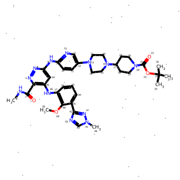 CNC(=O)c1nnc(Nc2ccc(N3CCN(C4CCN(C(=O)OC(C)(C)C)CC4)CC3)cn2)cc1Nc1cccc(-c2ncn(C)n2)c1OC